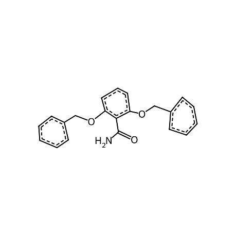 NC(=O)c1c(OCc2ccccc2)cccc1OCc1ccccc1